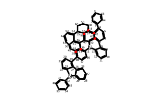 c1ccc(-c2ccc(-c3ccccc3N(c3ccc(-c4cccc5c4c4ccccc4n5-c4ccccc4)cc3)c3ccccc3-c3cccc4cccc(C5CCCCC5)c34)cc2)cc1